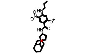 CCCNc1cc(OC)c(C(=O)N[C@H]2CCN(C3C4CCCC3CCC4)C2)cc1[N+](=O)[O-]